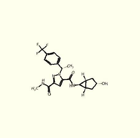 CNC(=O)c1cc(C(=O)N[C@H]2[C@@H]3C[C@H](O)C[C@@H]32)n([C@@H](C)c2ccc(C(F)(F)F)cc2)n1